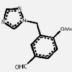 COc1ccc(C=O)cc1Cn1cncn1